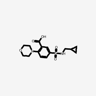 O=C(O)c1cc(S(=O)(=O)NCC2CC2)ccc1N1CCOCC1